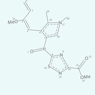 C=C/C(=C\c1c(C(=O)c2nc(C(=O)OC)ns2)cn(C)c1C)OC